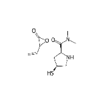 C=CC1OC1=O.CN(C)C(=O)[C@@H]1C[C@H](S)CN1